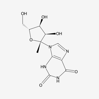 C[C@@]1(n2cnc3c(=O)[nH]c(=O)[nH]c32)O[C@H](CO)[C@@H](O)[C@H]1O